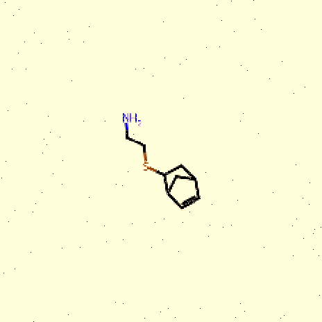 NCCSC1CC2C=CC1C2